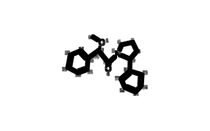 CO[C@H](C(=O)N1CCCC1c1ccccc1)c1ccccc1